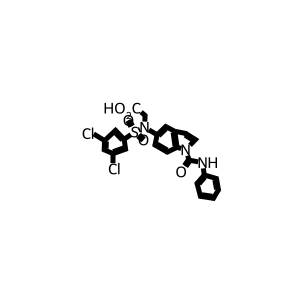 O=C(O)CN(c1ccc2c(ccn2C(=O)Nc2ccccc2)c1)S(=O)(=O)c1cc(Cl)cc(Cl)c1